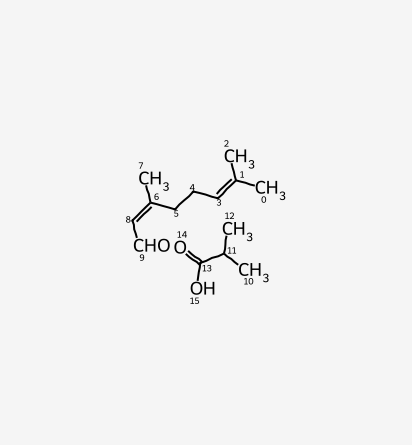 CC(C)=CCCC(C)=CC=O.CC(C)C(=O)O